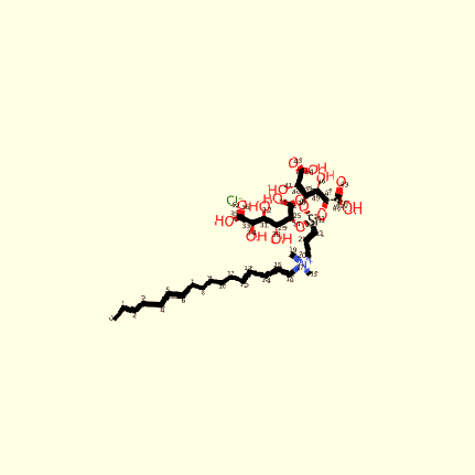 CCCCCCCCCCCCCCCCC[N+](C)(C)CCC[Si]1(O[C@H](C(=O)O)[C@H](O)[C@H](O)[C@@H](O)C(=O)O)O[C@@H]([C@H](O)C(=O)O)[C@H](O)[C@H](C(=O)O)O1.[Cl-]